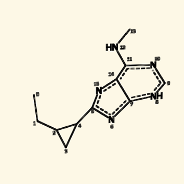 CCC1CC1c1nc2[nH]cnc(NC)c-2n1